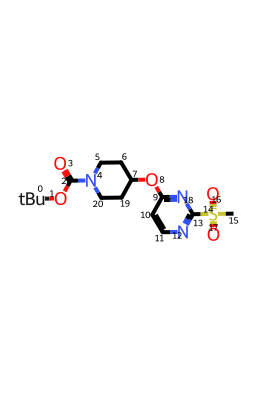 CC(C)(C)OC(=O)N1CCC(Oc2ccnc(S(C)(=O)=O)n2)CC1